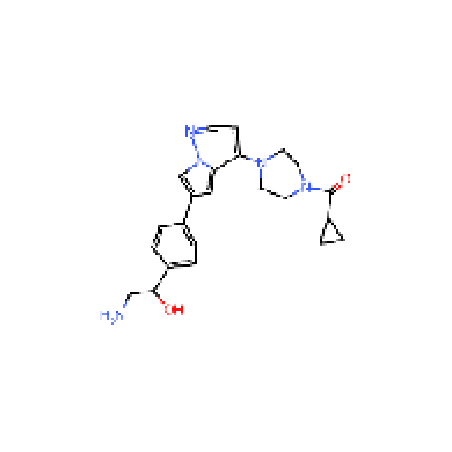 NCC(O)c1ccc(-c2cc3c(N4CCN(C(=O)C5CC5)CC4)ccnn3c2)cc1